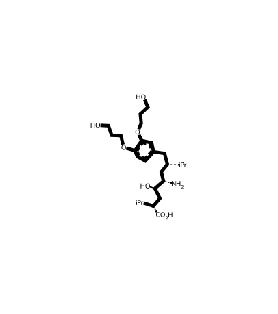 CC(C)[C@@H](Cc1ccc(OCCCO)c(OCCCO)c1)C[C@H](N)[C@@H](O)C[C@H](C(=O)O)C(C)C